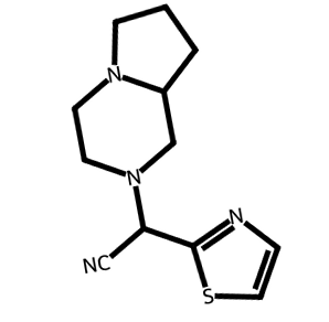 N#CC(c1nccs1)N1CCN2CCCC2C1